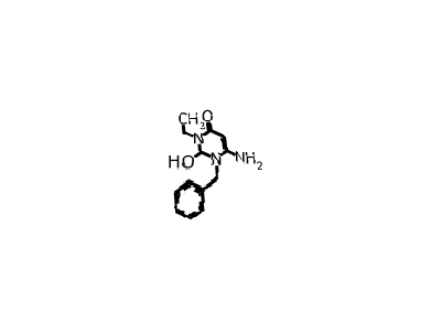 CCN1C(=O)C=C(N)N(Cc2ccccc2)C1O